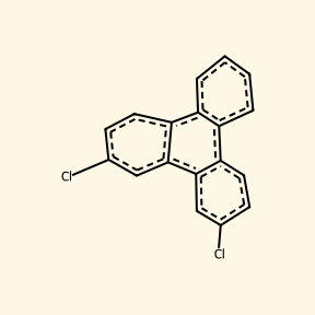 Clc1ccc2c3ccccc3c3ccc(Cl)cc3c2c1